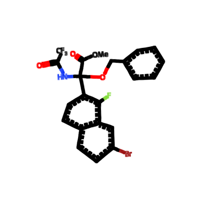 COC(=O)C(NC(=O)C(F)(F)F)(OCc1ccccc1)c1ccc2ccc(Br)cc2c1F